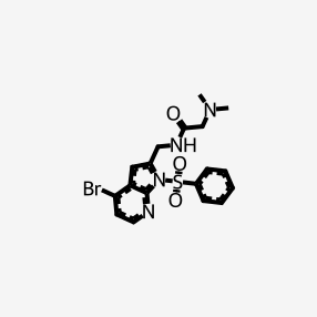 CN(C)CC(=O)NCc1cc2c(Br)ccnc2n1S(=O)(=O)c1ccccc1